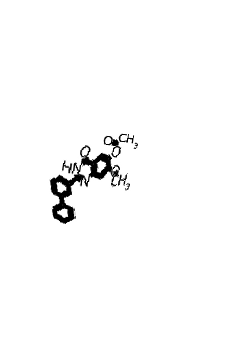 COc1cc2nc(-c3cccc(-c4ccccc4)c3)[nH]c(=O)c2cc1OC(C)=O